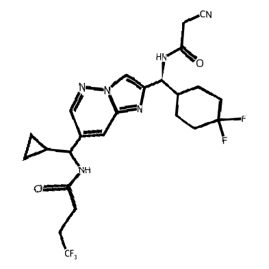 N#CCC(=O)N[C@H](c1cn2ncc(C(NC(=O)CCC(F)(F)F)C3CC3)cc2n1)C1CCC(F)(F)CC1